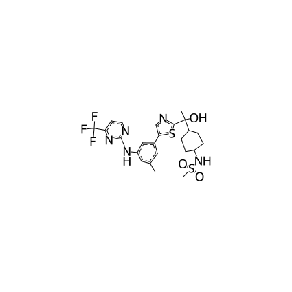 Cc1cc(Nc2nccc(C(F)(F)F)n2)cc(-c2cnc(C(C)(O)C3CCC(NS(C)(=O)=O)CC3)s2)c1